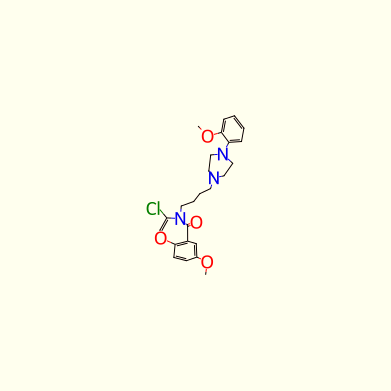 COc1ccc2c(c1)C(=O)N(CCCCN1CCN(c3ccccc3OC)CC1)C(Cl)=CO2